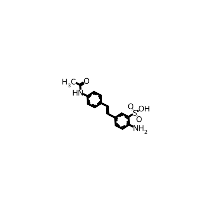 CC(=O)Nc1ccc(C=Cc2ccc(N)c(S(=O)(=O)O)c2)cc1